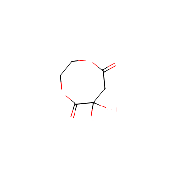 O=C1CC(O)(O)C(=O)OCCO1